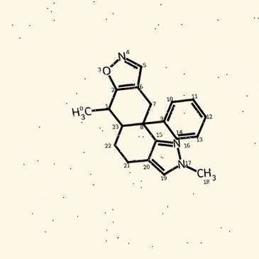 CC1c2oncc2CC2(c3ccccc3)c3nn(C)cc3CCC12